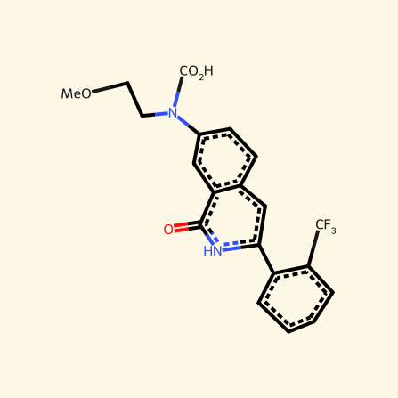 COCCN(C(=O)O)c1ccc2cc(-c3ccccc3C(F)(F)F)[nH]c(=O)c2c1